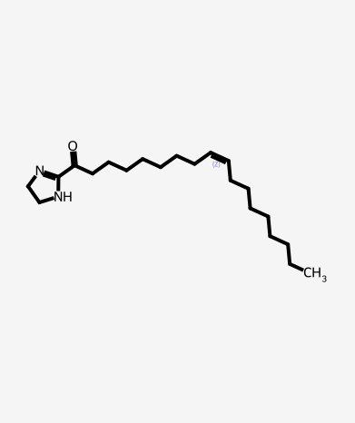 CCCCCCCC/C=C\CCCCCCCC(=O)C1=NCCN1